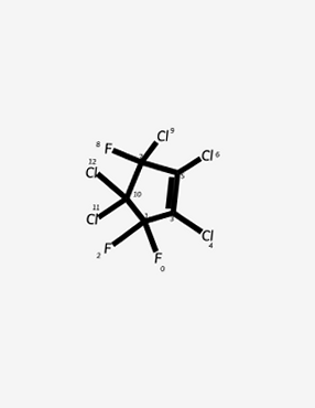 FC1(F)C(Cl)=C(Cl)C(F)(Cl)C1(Cl)Cl